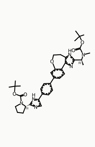 C[C@@H](c1nc2c([nH]1)CCOc1cc(-c3ccc(-c4cnc([C@@H]5CCCN5C(=O)OC(C)(C)C)[nH]4)cc3)ccc1-2)N(C)C(=O)OC(C)(C)C